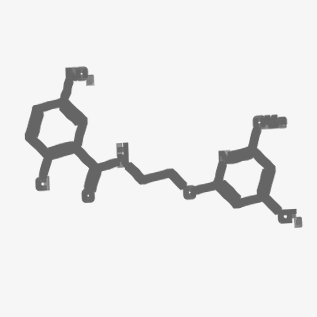 COc1cc(C(F)(F)F)cc(OCCNC(=O)c2cc([N+](=O)[O-])ccc2Cl)n1